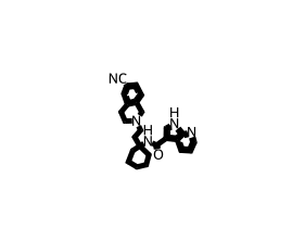 N#Cc1ccc2c(c1)CCN(CCC1(NC(=O)c3c[nH]c4ncccc34)CCCCC1)C2